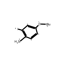 CC(C)(C)Oc1ccc([SiH3])c(I)c1